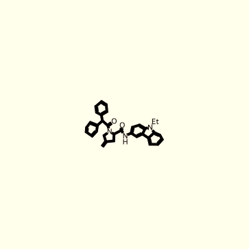 C=C1CC(C(=O)Nc2ccc3c(c2)c2ccccc2n3CC)N(C(=O)C(c2ccccc2)c2ccccc2)C1